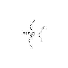 CCCl.CCOCC.[MgH2]